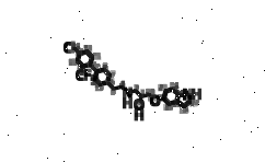 OC(CNCCc1ccc(-c2ccc(Cl)cc2C(F)(F)F)cc1)COc1ccc2[nH]ccc2c1